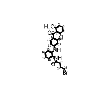 Cc1ccccc1C(=O)c1ccc(Nc2ccccc2NC(=O)CCCBr)cc1Cl